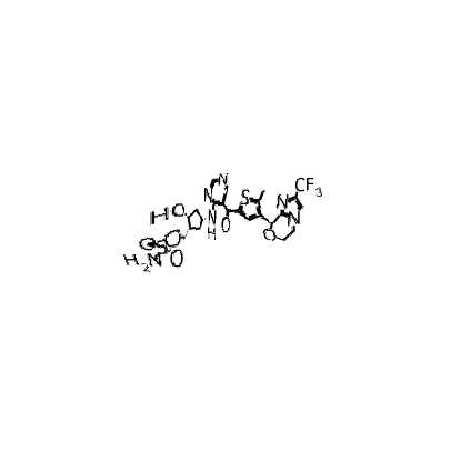 Cc1sc(C(=O)c2cncnc2N[C@@H]2C[C@H](COS(N)(=O)=O)[C@@H](O)C2)cc1[C@@H]1OCCn2cc(C(F)(F)F)nc21